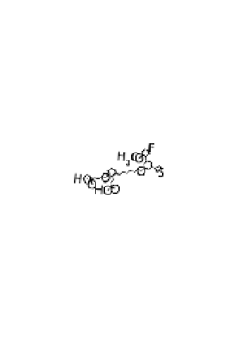 COc1ccc(F)cc1-c1cc(OCCCCCCc2cccc(OCCCC(=O)O)c2CCC(=O)O)cc(-c2ccsc2)c1